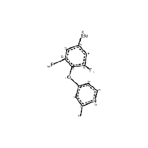 Cc1cc(Oc2c(F)cc(C(C)(C)C)cc2F)ccn1